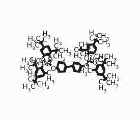 Cc1cc(C(C)(C)C)cc(C(C)(C)C)c1OP(Oc1ccc(-c2ccc(OP(Oc3c(C)cc(C(C)(C)C)cc3C(C)(C)C)Oc3c(C)cc(C(C)(C)C)cc3C(C)(C)C)cc2)cc1)Oc1c(C)cc(C(C)(C)C)cc1C(C)(C)C